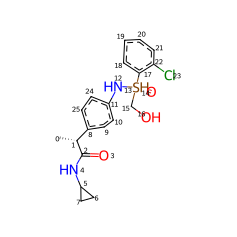 C[C@@H](C(=O)NC1CC1)c1ccc(N[SH](=O)(CO)c2ccccc2Cl)cc1